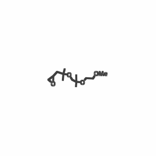 COCCOC(C)(C)COC(C)(C)CC1CO1